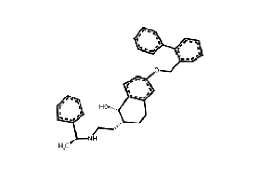 C[C@H](NCC[C@H]1CCc2cc(OCc3ccccc3-c3ccccc3)ccc2[C@H]1O)c1ccccc1